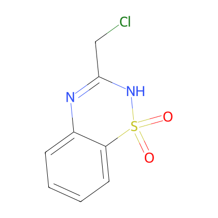 O=S1(=O)NC(CCl)=Nc2ccccc21